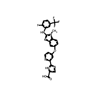 Cn1c(Nc2cc(C(F)(F)F)ccc2F)nc2cc(Oc3ccnc(-c4ncc(C(=O)O)[nH]4)c3)ccc21